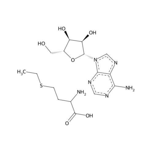 CCSCCC(N)C(=O)O.Nc1ncnc2c1ncn2[C@@H]1O[C@H](CO)[C@@H](O)[C@H]1O